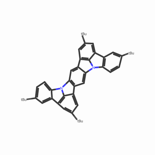 CC(C)(C)c1ccc2c(c1)c1cc(C(C)(C)C)cc3c4cc5c(cc4n2c13)c1cc(C(C)(C)C)cc2c3cc(C(C)(C)C)ccc3n5c21